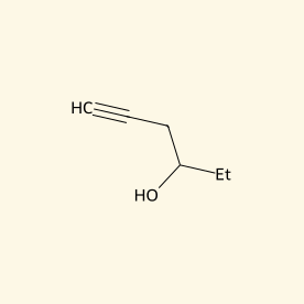 C#CCC(O)C[CH2]